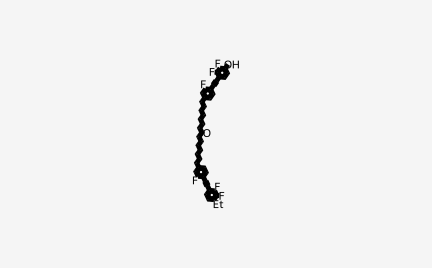 CCc1ccc(C#Cc2ccc(CCCCCCCC(=O)CCCCCCCc3ccc(C#Cc4ccc(O)c(F)c4F)c(F)c3)cc2F)c(F)c1F